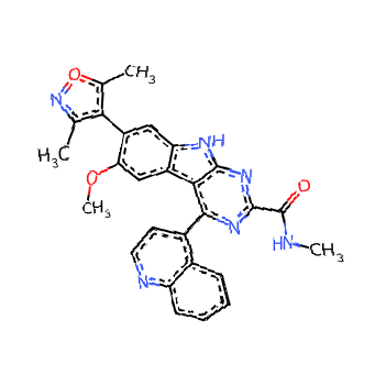 CNC(=O)c1nc(-c2ccnc3ccccc23)c2c(n1)[nH]c1cc(-c3c(C)noc3C)c(OC)cc12